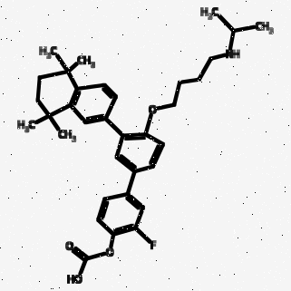 CC(C)NCCCCOc1ccc(-c2ccc(OC(=O)O)c(F)c2)cc1-c1ccc2c(c1)C(C)(C)CCC2(C)C